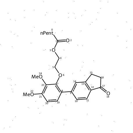 CCCCCC(=O)OCCOc1c(-c2ccc3c(c2)CCC3=O)ccc(OC)c1OC